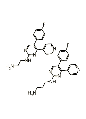 NCCCNc1ncc(-c2ccc(F)cc2)c(-c2ccncc2)n1.NCCNc1ncc(-c2ccc(F)cc2)c(-c2ccncc2)n1